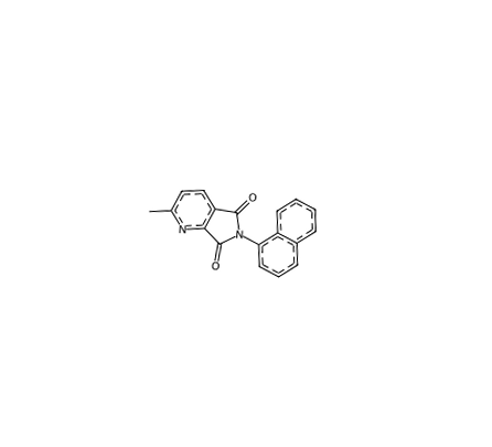 Cc1ccc2c(n1)C(=O)N(c1cccc3ccccc13)C2=O